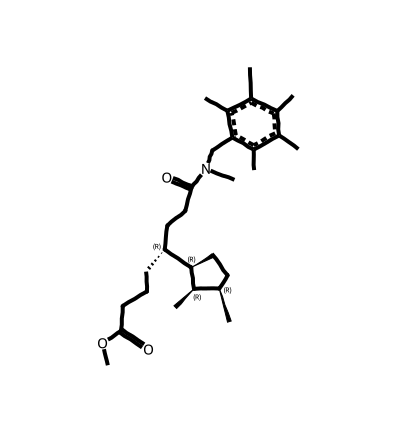 COC(=O)CCC[C@H](CCC(=O)N(C)Cc1c(C)c(C)c(C)c(C)c1C)[C@H]1CC[C@@H](C)[C@H]1C